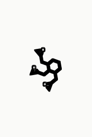 C1CC(CC2CO2)C(CC2CO2)C(CC2CO2)C1